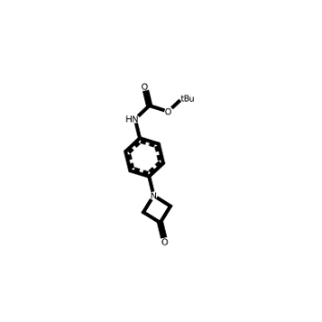 CC(C)(C)OC(=O)Nc1ccc(N2CC(=O)C2)cc1